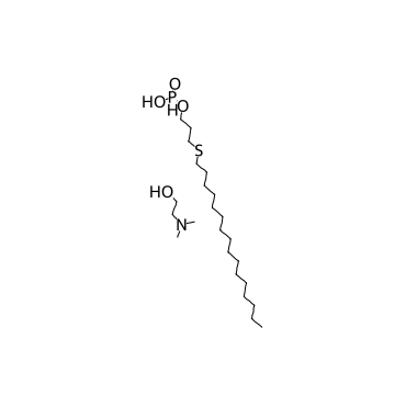 CCCCCCCCCCCCCCCCSCCCO[PH](=O)O.CN(C)CCO